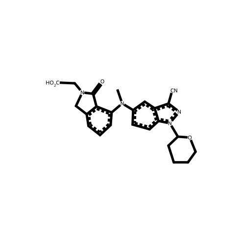 CN(c1ccc2c(c1)c(C#N)nn2C1CCCCO1)c1cccc2c1C(=O)N(CC(=O)O)C2